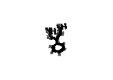 NSC(CS)c1ccccc1